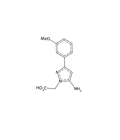 COc1cccc(-c2cc(N)n(CC(=O)O)n2)c1